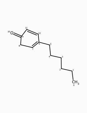 CCCCC[CH]C1=CCC(=O)C=C1